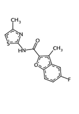 Cc1csc(NC(=O)c2oc3ccc(F)cc3c2C)n1